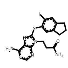 NC(=O)CCn1c(Sc2cc3c(cc2I)CCC3)nc2c(N)ncnc21